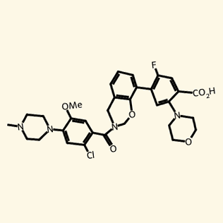 COc1cc(C(=O)N2COc3c(cccc3-c3cc(N4CCOCC4)c(C(=O)O)cc3F)C2)c(Cl)cc1N1CCN(C)CC1